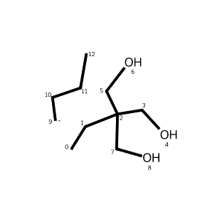 CCC(CO)(CO)CO.[CH2]CCC